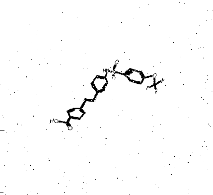 O=C(O)c1ccc(CCc2ccc(NS(=O)(=O)c3ccc(OC(F)(F)F)cc3)cc2)cc1